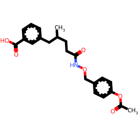 CC(=O)Oc1ccc(CONC(=O)CCC(C)Cc2cccc(C(=O)O)c2)cc1